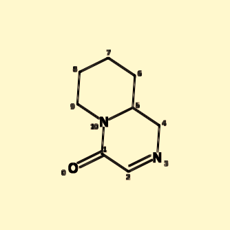 O=C1C=NCC2CCCCN12